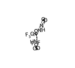 CS(=O)(=O)c1cc(F)c(NCC#Cc2cc3c(NC4CCN(C5CCS(=O)(=O)CC5)CC4)cccc3n2CC(F)(F)F)c(F)c1